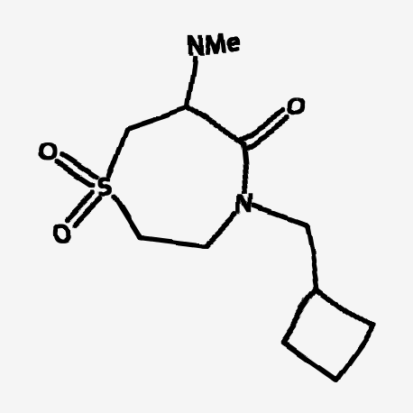 CNC1CS(=O)(=O)CCN(CC2CCC2)C1=O